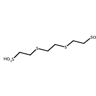 O=S(=O)(O)CCSCCSCCS(=O)(=O)O